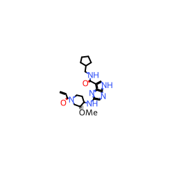 C=CC(=O)N1CCC(Nc2cnc3[nH]cc(C(=O)NCC4CCCC4)c3n2)[C@H](OC)C1